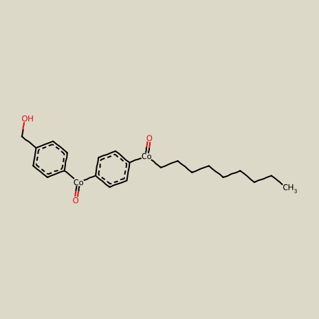 CCCCCCCC[CH2][Co](=[O])[c]1cc[c]([Co](=[O])[c]2ccc(CO)cc2)cc1